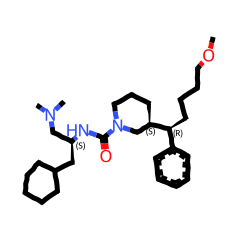 COCCCC[C@@H](c1ccccc1)[C@@H]1CCCN(C(=O)N[C@@H](CC2CCCCC2)CN(C)C)C1